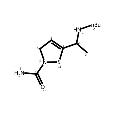 CCCCNC(C)C1=CCN(C(N)=O)S1